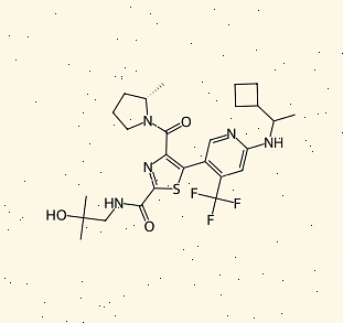 CC(Nc1cc(C(F)(F)F)c(-c2sc(C(=O)NCC(C)(C)O)nc2C(=O)N2CCC[C@@H]2C)cn1)C1CCC1